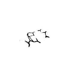 C=C(C)C(=O)OC(C)OC1C2CC3C1OC(=O)C3C2C(=O)OC